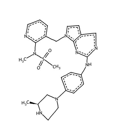 C[C@H]1CN(c2ccc(Nc3ncc4ccn(Cc5cccnc5N(C)S(C)(=O)=O)c4n3)cc2)CCN1